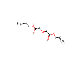 C=CCOC(=O)COCC(=O)OCC=C